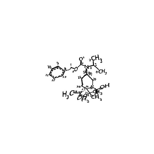 CC(C)N(C(=O)OCc1ccccc1)[C@@H]1CC[C@](C(C)O)(C(C)(C)C)N(C(=O)O)C1